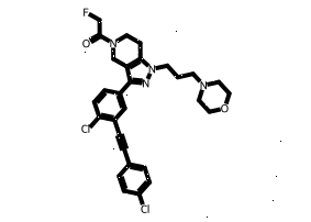 O=C(CF)N1CCc2c(c(-c3ccc(Cl)c(C#Cc4ccc(Cl)cc4)c3)nn2CCCN2CCOCC2)C1